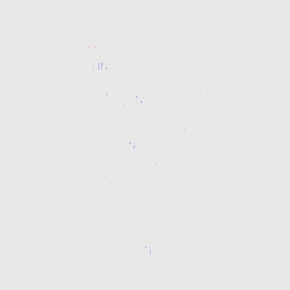 CN(Cc1ccc(-c2ccncc2)cc1)C(=O)C(C)(CCN1CCC(NS(C)(=O)=O)CC1)c1ccc(Cl)c(Cl)c1